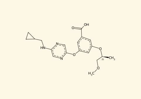 COC[C@H](C)Oc1cc(Oc2cnc(NCC3CC3)cn2)cc(C(=O)O)c1